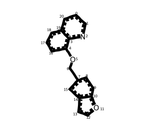 c1cnc2c(OCc3ccc4occc4c3)cccc2c1